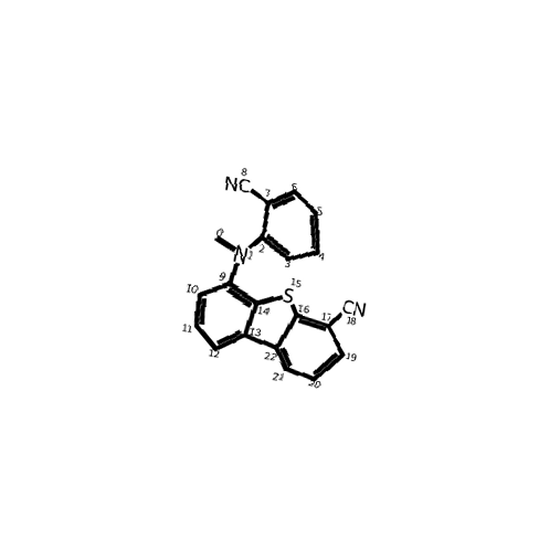 CN(c1ccccc1C#N)c1cccc2c1sc1c(C#N)cccc12